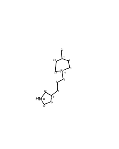 [CH2]C1CCN(CCCC2CCNC2)CC1